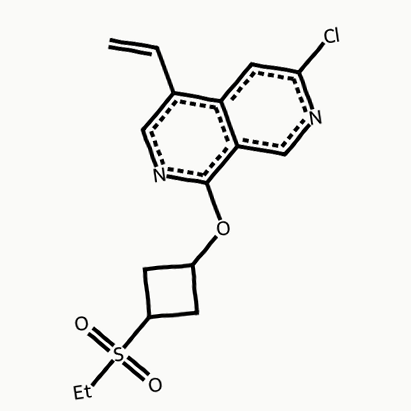 C=Cc1cnc(OC2CC(S(=O)(=O)CC)C2)c2cnc(Cl)cc12